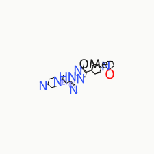 C=N/C=C(\C=C(/C)N1CCC(N(C)C)CC1)Nc1ncc(-c2ccc(N3CCCC3=O)cc2)c(OC)n1